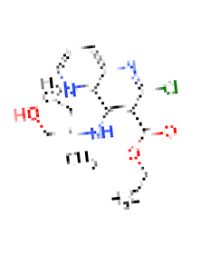 CCOC(=O)c1c(Cl)nc2cccnc2c1N[C@](C)(CC)CO